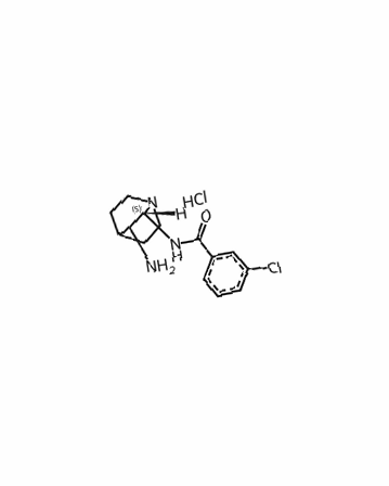 Cl.NC1C2CCN(CC2)[C@@H]1NC(=O)c1cccc(Cl)c1